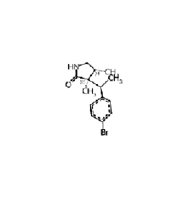 CC(c1ccc(Br)cc1)[C@@]1(C)C(=O)NC[C@@H]1C